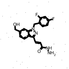 NNC(=O)C=Cc1nn(Cc2ccc(F)cc2F)c2cc(CO)ccc12